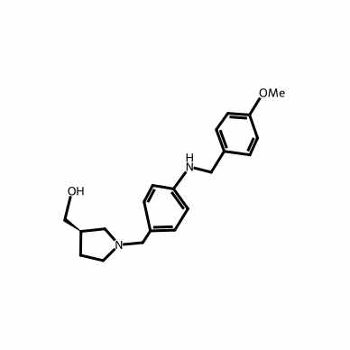 COc1ccc(CNc2ccc(CN3CC[C@@H](CO)C3)cc2)cc1